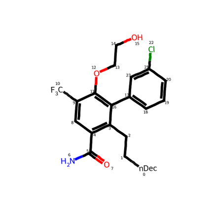 CCCCCCCCCCCCc1c(C(N)=O)cc(C(F)(F)F)c(OCCO)c1-c1cccc(Cl)c1